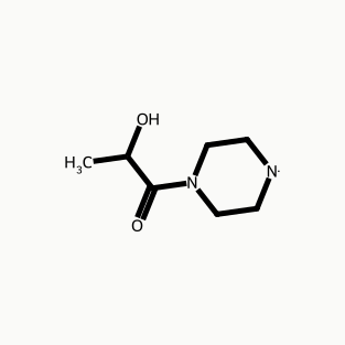 CC(O)C(=O)N1CC[N]CC1